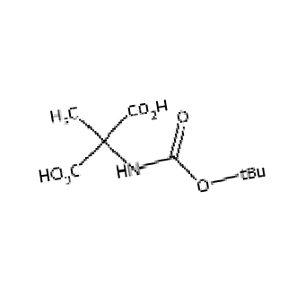 CC(C)(C)OC(=O)NC(C)(C(=O)O)C(=O)O